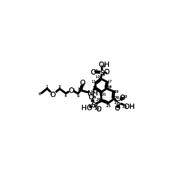 CCOCCOCC(=O)Nc1cc(S(=O)(=O)O)cc2cc(S(=O)(=O)O)cc(S(=O)(=O)O)c12